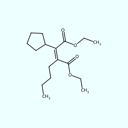 CCCC/C(C(=O)OCC)=C(/C(=O)OCC)C1CCCC1